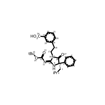 CC(C)C[C@]1(c2ccccc2)NC(=NC(=O)OC(C)(C)C)N(CCc2cccc(C(=O)O)c2)C1=O